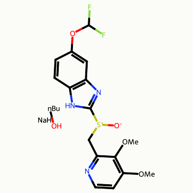 CCCCO.COc1ccnc(C[S+]([O-])c2nc3cc(OC(F)F)ccc3[nH]2)c1OC.[NaH]